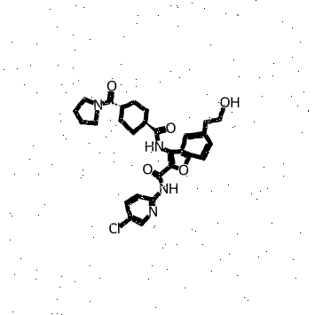 O=C(Nc1ccc(Cl)cn1)c1oc2ccc(CCO)cc2c1NC(=O)[C@H]1CC[C@H](C(=O)N2CCCC2)CC1